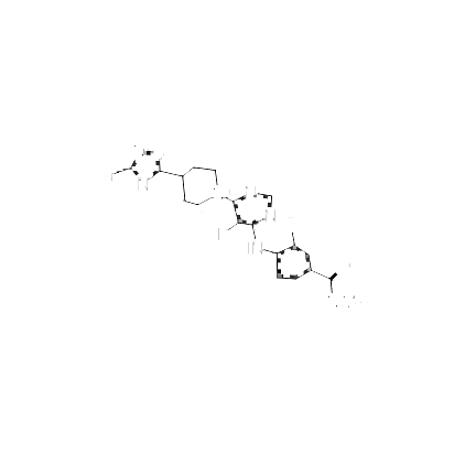 CNC(=O)c1ccc(Nc2ncnc(N3CCC(c4nc(C(C)(C)C)no4)CC3)c2F)c(F)c1